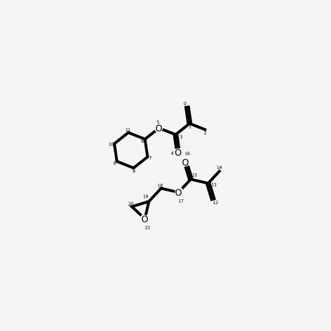 C=C(C)C(=O)OC1CCCCC1.C=C(C)C(=O)OCC1CO1